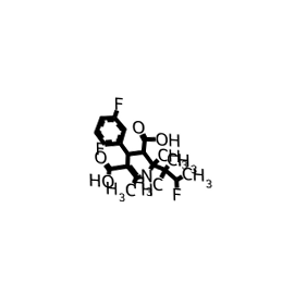 CC1=C(C(=O)O)C(c2cc(F)ccc2F)C(C(=O)O)C(C)(C(C)(C)C(C)F)N1